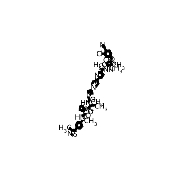 Cc1ncsc1-c1ccc([C@H](C)NC(=O)[C@@H]2CCCN2C(=O)[C@@H](NC(=O)CN2CC(N3CCN(c4ccc(C(=O)N[C@H]5C(C)(C)[C@H](Oc6ccc(C#N)c(Cl)c6)C5(C)C)cn4)CC3)C2)C(C)(C)C)cc1